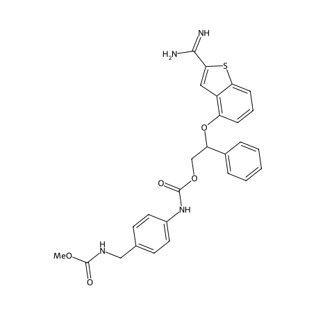 COC(=O)NCc1ccc(NC(=O)OCC(Oc2cccc3sc(C(=N)N)cc23)c2ccccc2)cc1